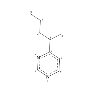 CCCC(C)c1ccncn1